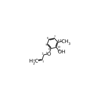 C=CCOc1cccc(C)c1O